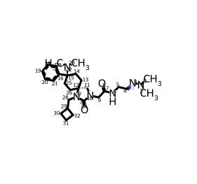 CN(C)/N=C/CNC(=O)CN1C[C@]2(CC[C@](c3ccccc3)(N(C)C)CC2)N(CC2CCC2)C1=O